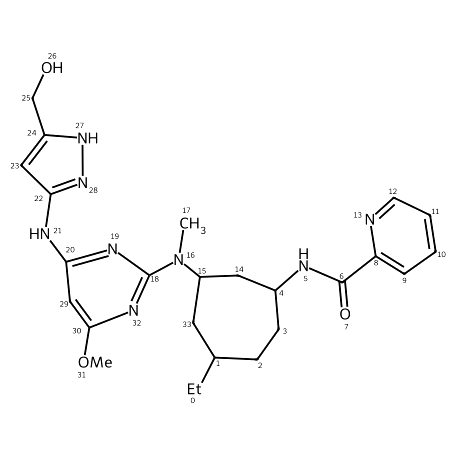 CCC1CCC(NC(=O)c2ccccn2)CC(N(C)c2nc(Nc3cc(CO)[nH]n3)cc(OC)n2)C1